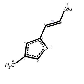 Cc1csc(/C=C/C(C)(C)C)c1